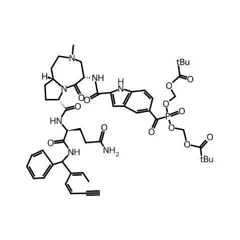 C#C/C=C\C(=C/C)C(NC(=O)[C@H](CCC(N)=O)NC(=O)[C@@H]1CC[C@@H]2CCN(C)C[C@H](NC(=O)c3cc4cc(C(=O)P(=O)(OCOC(=O)C(C)(C)C)OCOC(=O)C(C)(C)C)ccc4[nH]3)C(=O)N21)c1ccccc1